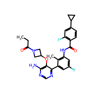 CCC(=O)N1CC(Oc2c(N)ncnc2-c2cc(F)cc(NC(=O)c3ccc(C4CC4)cc3F)c2C)C1